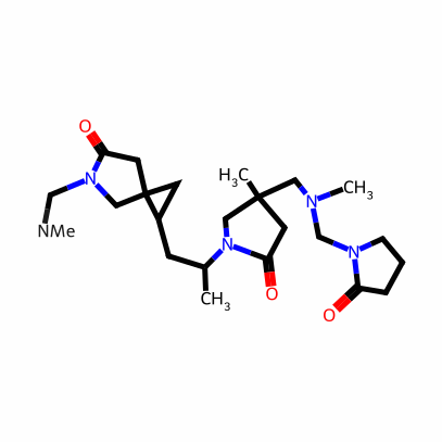 CNCN1CC2(CC1=O)CC2CC(C)N1CC(C)(CN(C)CN2CCCC2=O)CC1=O